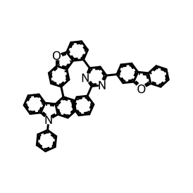 c1ccc(-c2nc(-c3ccc4c(c3)oc3ccccc34)cc(-c3cccc4oc5ccc(-c6cccc7c6c6ccccc6n7-c6ccccc6)cc5c34)n2)cc1